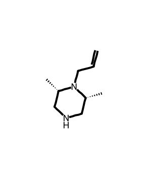 C=CCN1[C@H](C)CNC[C@@H]1C